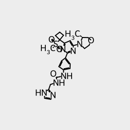 C[C@H]1COCCN1c1cc(C2(S(C)(=O)=O)CCC2)nc(-c2ccc(NC(=O)NCc3ncc[nH]3)cc2)n1